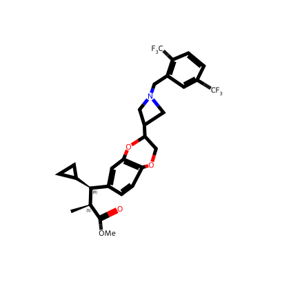 COC(=O)[C@@H](C)[C@H](c1ccc2c(c1)OC(C1CN(Cc3cc(C(F)(F)F)ccc3C(F)(F)F)C1)CO2)C1CC1